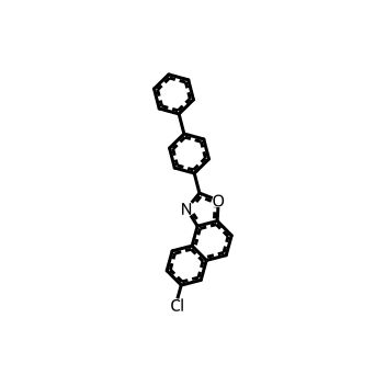 Clc1ccc2c(ccc3oc(-c4ccc(-c5ccccc5)cc4)nc32)c1